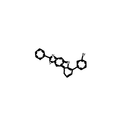 Brc1cccc(C2=C3N=c4cc5nc(-c6ccccc6)sc5cc4=C3CC=C2)c1